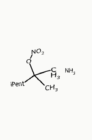 CCCC(C)C(C)(C)O[N+](=O)[O-].N